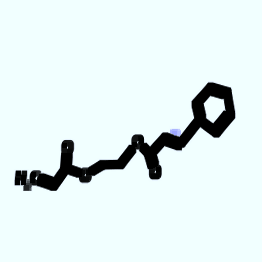 C=CC(=O)OCCOC(=O)/C=C/c1ccccc1